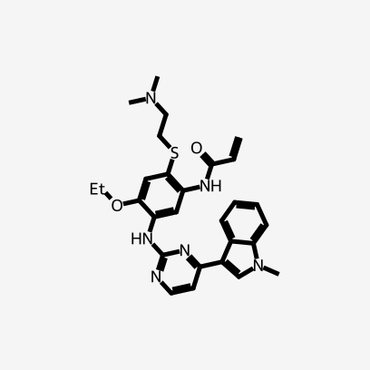 C=CC(=O)Nc1cc(Nc2nccc(-c3cn(C)c4ccccc34)n2)c(OCC)cc1SCCN(C)C